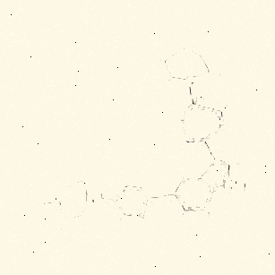 CN1CCN(c2ccc(-c3cnc4[nH]cc(-c5ccc(N6CCCCC6)cc5)c4c3)cc2)CC1